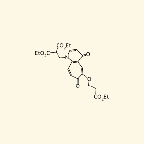 CCOC(=O)CCOc1cc2c(=O)ccn(CC(C(=O)OCC)C(=O)OCC)c2ccc1=O